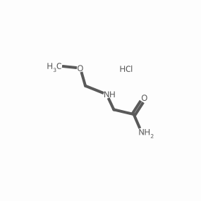 COCNCC(N)=O.Cl